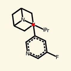 CC(C)N1CC2CC(C1)N2Cc1cncc(F)c1